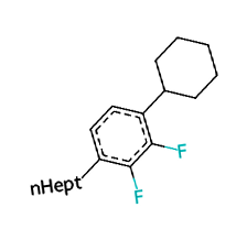 CCCCCCCc1ccc(C2CCCCC2)c(F)c1F